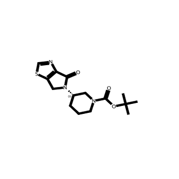 CC(C)(C)OC(=O)N1CCC[C@H](N2Cc3scnc3C2=O)C1